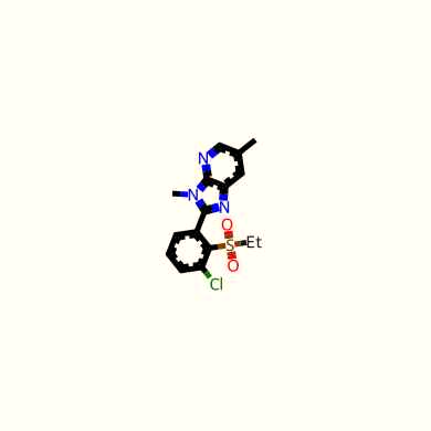 CCS(=O)(=O)c1c(Cl)cccc1-c1nc2cc(C)cnc2n1C